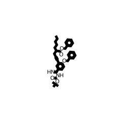 CCCCCC(CC#Cc1cc(C(=N)NC(=O)OC(C)(C)C)ccc1OCc1ccccc1)C(=O)OCc1ccccc1